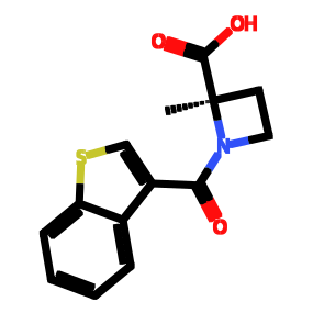 C[C@]1(C(=O)O)CCN1C(=O)c1csc2ccccc12